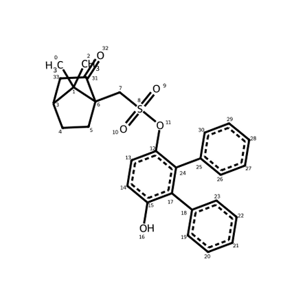 CC1(C)C2CCC1(CS(=O)(=O)Oc1ccc(O)c(-c3ccccc3)c1-c1ccccc1)C(=O)C2